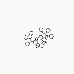 c1ccc(N(c2cc3ccccc3c3ccccc23)c2cc3oc4ccc5oc6cc(N(c7ccccc7)c7cc8ccccc8c8ccccc78)c7ccccc7c6c5c4c3c3ccccc23)cc1